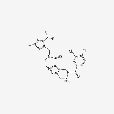 C[C@@H]1Cc2nn3c(c2CN1C(=O)c1ccc(Cl)c(Cl)c1)C(=O)N(Cc1cn(C)nc1C(F)F)CC3